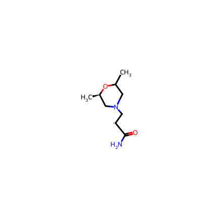 CC1CN(C[CH]C(N)=O)C[C@@H](C)O1